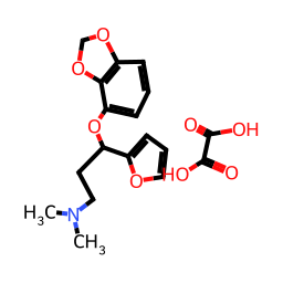 CN(C)CCC(Oc1cccc2c1OCO2)c1ccco1.O=C(O)C(=O)O